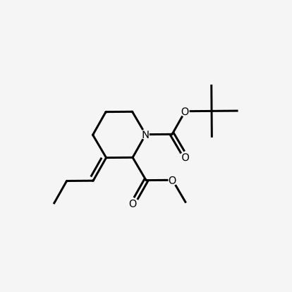 CCC=C1CCCN(C(=O)OC(C)(C)C)C1C(=O)OC